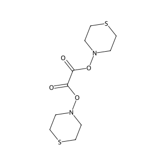 O=C(ON1CCSCC1)C(=O)ON1CCSCC1